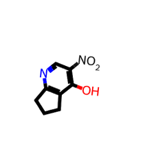 O=[N+]([O-])c1cnc2c(c1O)CCC2